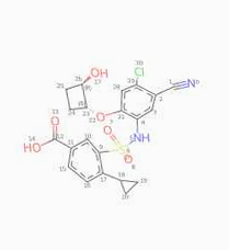 N#Cc1cc(NS(=O)(=O)c2cc(C(=O)O)ccc2C2CC2)c(O[C@@H]2CC[C@H]2O)cc1Cl